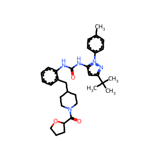 Cc1ccc(-n2nc(C(C)(C)C)cc2NC(=O)Nc2ccccc2CC2CCN(C(=O)C3CCCO3)CC2)cc1